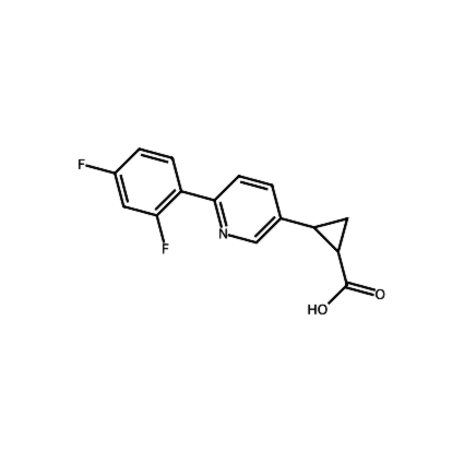 O=C(O)C1CC1c1ccc(-c2ccc(F)cc2F)nc1